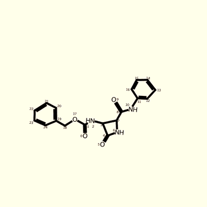 O=C(NC1C(=O)NC1C(=O)Nc1ccccc1)OCc1ccccc1